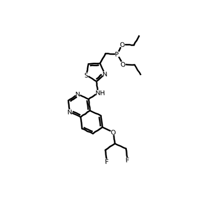 CCOP(Cc1csc(Nc2ncnc3ccc(OC(CF)CF)cc23)n1)OCC